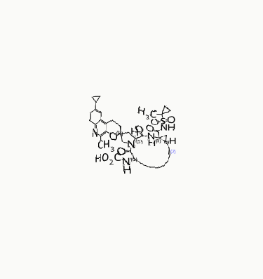 Cc1nc2ccc(C3CC3)cc2c2c1O[C@]1(CC2)C[C@H]2C(=O)N[C@]3(C(=O)NS(=O)(=O)C4(C)CC4)C[C@H]3/C=C\CCCCC[C@H](NC(=O)O)C(=O)N2C1